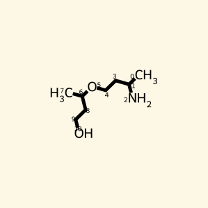 CC(N)CCOC(C)CCO